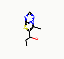 CCC(O)c1sc2ncnn2c1C